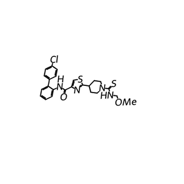 COCNC(=S)N1CCC(c2nc(C(=O)Nc3ccccc3-c3ccc(Cl)cc3)cs2)CC1